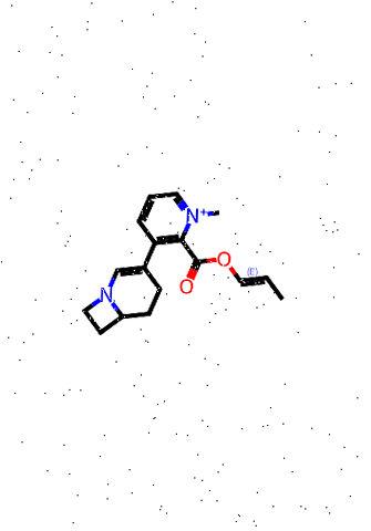 C/C=C/OC(=O)c1c(C2=CN3CCC3CC2)ccc[n+]1C